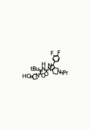 CC(C)N1CCc2c(c(-c3ccc(F)c(F)c3)nn2C(=O)N[C@H](C(=O)N2CC[C@H](O)C2)C(C)(C)C)C1